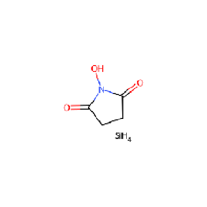 O=C1CCC(=O)N1O.[SiH4]